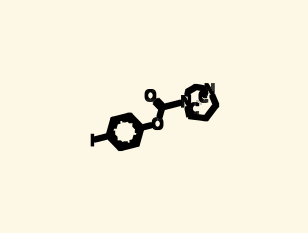 O=C(Oc1ccc(I)cc1)N1CCN2CCC1CC2